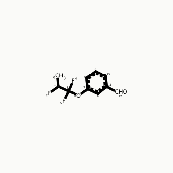 CC(F)C(F)(F)Oc1cccc(C=O)c1